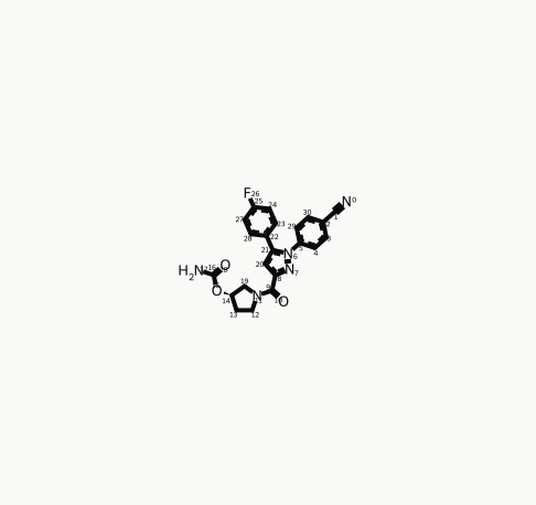 N#Cc1ccc(-n2nc(C(=O)N3CC[C@H](OC(N)=O)C3)cc2-c2ccc(F)cc2)cc1